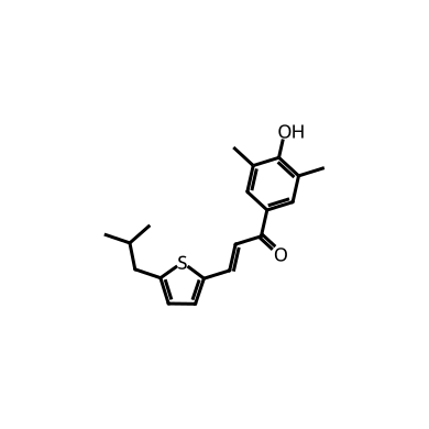 Cc1cc(C(=O)C=Cc2ccc(CC(C)C)s2)cc(C)c1O